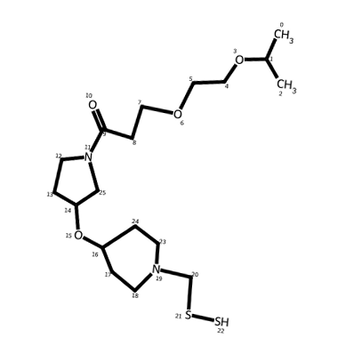 CC(C)OCCOCCC(=O)N1CCC(OC2CCN(CSS)CC2)C1